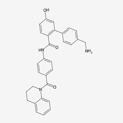 NCc1ccc(-c2cc(O)ccc2C(=O)Nc2ccc(C(=O)N3CCCc4ccccc43)cc2)cc1